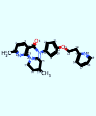 Cc1ccc(C(=O)Nc2ccc(OCCc3ccccn3)cc2)c(N2CCC(C)CC2)n1